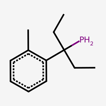 CCC(P)(CC)c1ccccc1C